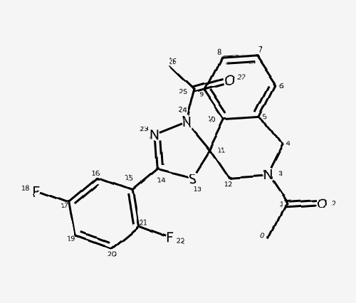 CC(=O)N1Cc2ccccc2C2(C1)SC(c1cc(F)ccc1F)=NN2C(C)=O